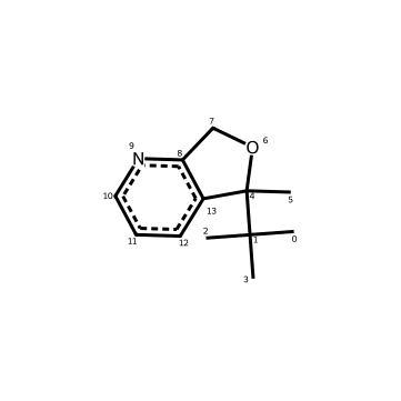 CC(C)(C)C1(C)OCc2ncccc21